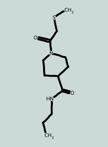 CCCNC(=O)C1CCN(C(=O)CSC)CC1